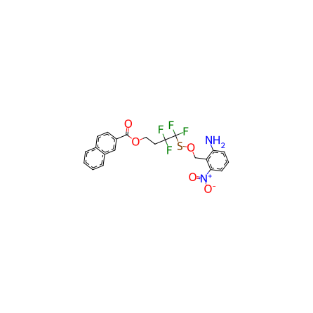 Nc1cccc([N+](=O)[O-])c1COSC(F)(F)C(F)(F)CCOC(=O)c1ccc2ccccc2c1